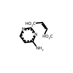 Nc1ccncn1.O=C(O)/C=C\C(=O)O